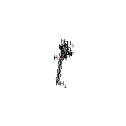 Cc1cn(-c2cc(NC(=O)c3ccc(C)c(Nc4nccc(-c5cncc(OCCOCCOCCOCCOCCOCCOCCN)c5)n4)c3)cc(C(F)(F)F)c2)cn1